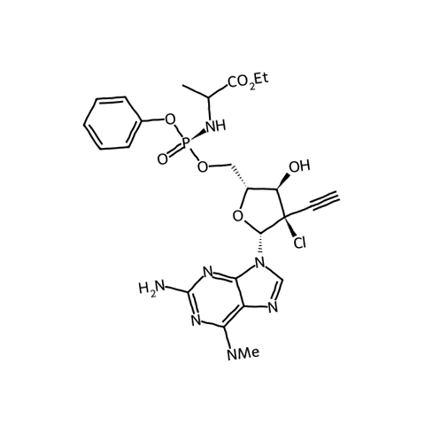 C#C[C@@]1(Cl)[C@H](O)[C@@H](CO[P@@](=O)(NC(C)C(=O)OCC)Oc2ccccc2)O[C@H]1n1cnc2c(NC)nc(N)nc21